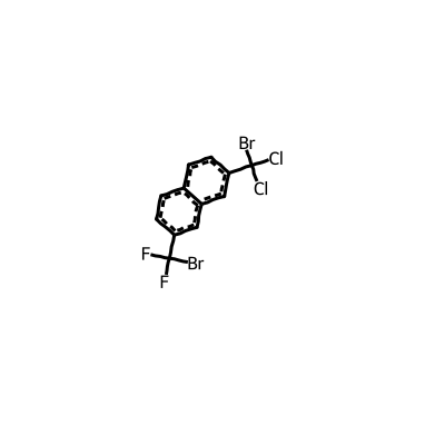 FC(F)(Br)c1ccc2ccc(C(Cl)(Cl)Br)cc2c1